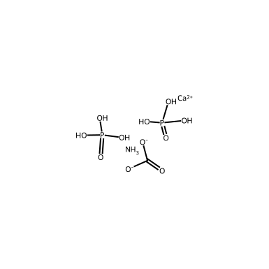 N.O=C([O-])[O-].O=P(O)(O)O.O=P(O)(O)O.[Ca+2]